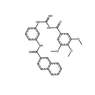 COc1cc(C(=O)NC(=N)Nc2cccc(NC(=O)c3ccc4ccccc4c3)c2)cc(OC)c1OC